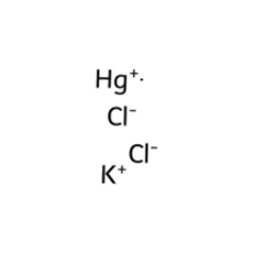 [Cl-].[Cl-].[Hg+].[K+]